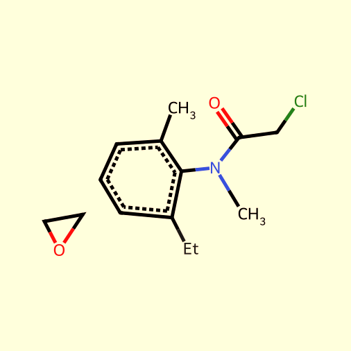 C1CO1.CCc1cccc(C)c1N(C)C(=O)CCl